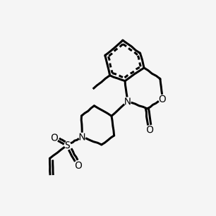 C=CS(=O)(=O)N1CCC(N2C(=O)OCc3cccc(C)c32)CC1